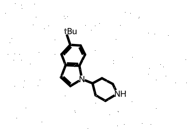 CC(C)(C)c1ccc2c(ccn2C2CCNCC2)c1